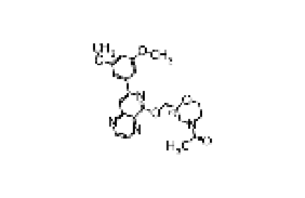 COc1cc(OC)cc(-c2cc3nccnc3c(OC[C@@H]3CN(C(C)=O)CCO3)n2)c1